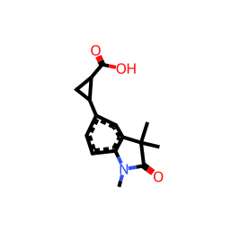 CN1C(=O)C(C)(C)c2cc(C3CC3C(=O)O)ccc21